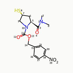 CN(C)C(=O)[C@@H]1C[C@H](S)CN1C(=O)OCc1ccc([N+](=O)[O-])cc1